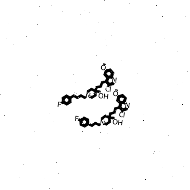 COc1ccc2ncc(Cl)c(CCCC3(CO)CCN(CCCCc4ccc(F)cc4)CC3)c2c1.COc1ccc2ncc(Cl)c(CCCC3(CO)CCN(CCCc4ccc(F)cc4)CC3)c2c1